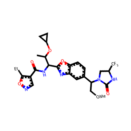 CCc1oncc1C(=O)NC(c1nc2cc(C(COC)N3CC(C(F)(F)F)NC3=O)ccc2o1)C(C)OC1CC1